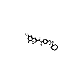 Cc1cc(Cl)cc2c1OCC(C(=O)Nc1ccc(C[N+](C)(C)C3CCCCCC3)cc1)=C2